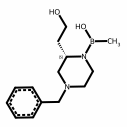 CB(O)N1CCN(Cc2ccccc2)C[C@@H]1CCO